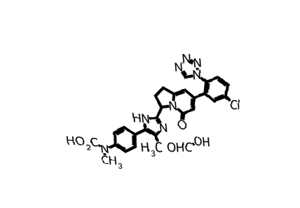 Cc1nc(C2CCc3cc(-c4cc(Cl)ccc4-n4cnnn4)cc(=O)n32)[nH]c1-c1ccc(N(C)C(=O)O)cc1.O=CO